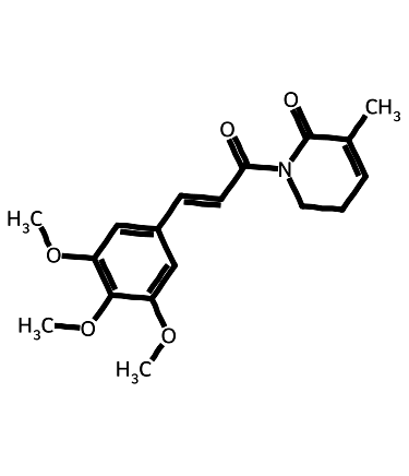 COc1cc(/C=C/C(=O)N2CCC=C(C)C2=O)cc(OC)c1OC